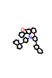 c1ccc(-c2ccc(-c3ccc4ccccc4c3)cc2N(c2ccc(-c3cccc4ccccc34)cc2)c2cccc3oc4ccccc4c23)cc1